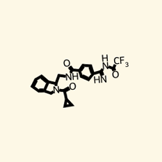 N=C(NC(=O)C(F)(F)F)c1ccc(C(=O)NCC2c3ccccc3CN2C(=O)C2CC2)cc1